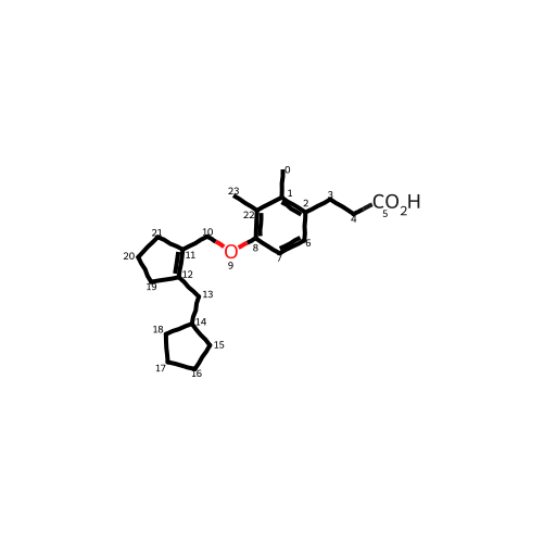 Cc1c(CCC(=O)O)ccc(OCC2=C(CC3CCCC3)CCC2)c1C